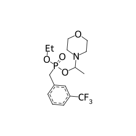 CCOP(=O)(Cc1cccc(C(F)(F)F)c1)OC(C)N1CCOCC1